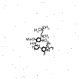 COc1cc(N(C)CCN(C)C)c([N+](=O)[O-])cc1Nc1nccc(-c2cc(F)c3nc(CF)n(C(C)C)c3c2)n1